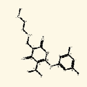 COCCOCn1c(=O)[nH]c(Oc2cc(C)cc(C)c2)c(C(C)C)c1=O